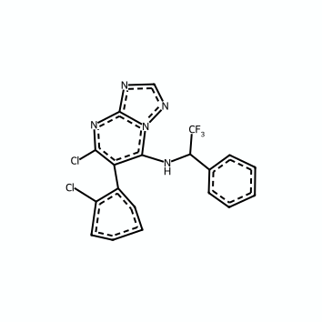 FC(F)(F)C(Nc1c(-c2ccccc2Cl)c(Cl)nc2ncnn12)c1ccccc1